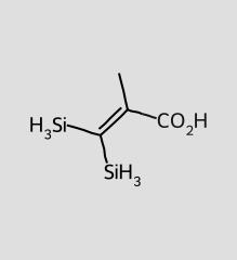 CC(C(=O)O)=C([SiH3])[SiH3]